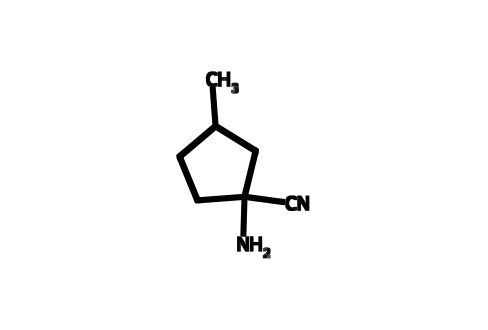 CC1CCC(N)(C#N)C1